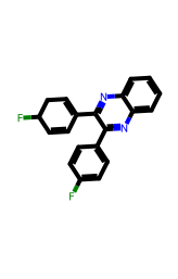 Fc1ccc(-c2nc3ccccc3nc2C2=CCC(F)C=C2)cc1